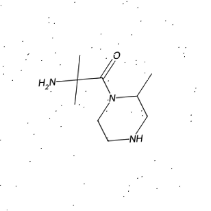 CC1CNCCN1C(=O)C(C)(C)N